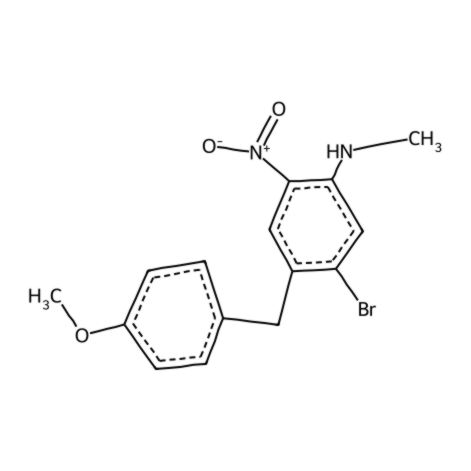 CNc1cc(Br)c(Cc2ccc(OC)cc2)cc1[N+](=O)[O-]